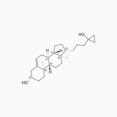 C[C@]12CC[C@H]3[C@@H](CC=C4C[C@@H](O)CC[C@@]43C)[C@@H]1CC[C@@H]2CCCC1(O)CC1